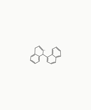 [C]1=CCc2ccccc2C1c1cccc2ccccc12